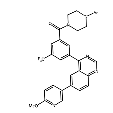 COc1ccc(-c2ccc3ncnc(-c4cc(C(=O)N5CCN(C(C)=O)CC5)cc(C(F)(F)F)c4)c3c2)cn1